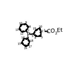 CCOC(C)=O.c1ccc(P(c2ccccc2)c2ccccc2)cc1